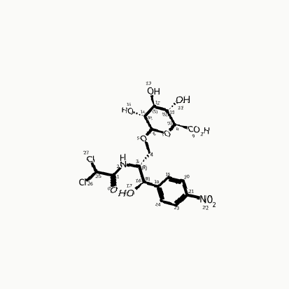 O=C(N[C@H](COC1O[C@H](C(=O)O)[C@@H](O)[C@H](O)[C@H]1O)[C@H](O)c1ccc([N+](=O)[O-])cc1)C(Cl)Cl